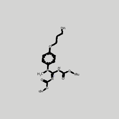 CN(/C(=N\C(=O)OC(C)(C)C)NC(=O)OC(C)(C)C)c1ccc(OCCCO)cc1